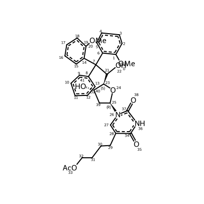 COc1ccccc1C(c1ccccc1)(c1ccccc1OC)C(O)[C@H]1O[C@@H](n2cc(CCCCOC(C)=O)c(=O)[nH]c2=O)C[C@@H]1O